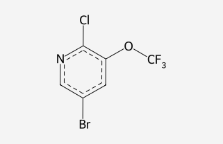 FC(F)(F)Oc1cc(Br)cnc1Cl